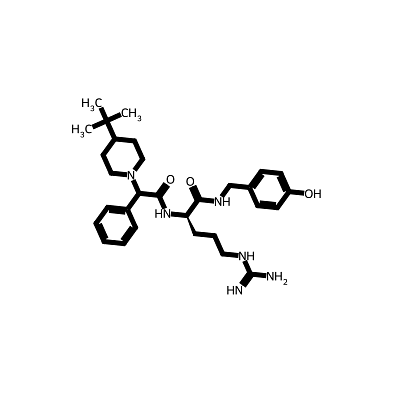 CC(C)(C)C1CCN(C(C(=O)N[C@H](CCCNC(=N)N)C(=O)NCc2ccc(O)cc2)c2ccccc2)CC1